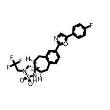 O=S1(=O)N[C@@]2(CN1CC(F)(F)F)[C@@H]1CC[C@H]2Cc2ccc(-c3ncc(-c4ccc(F)cc4)o3)cc2C1